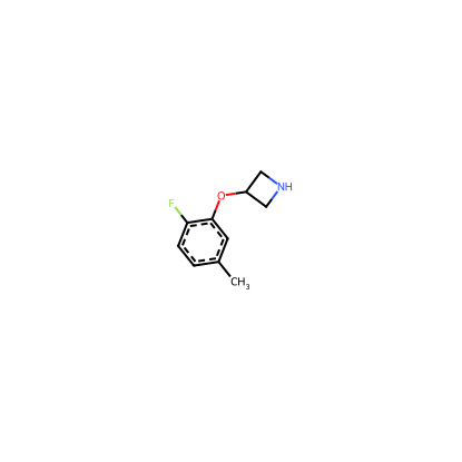 Cc1ccc(F)c(OC2CNC2)c1